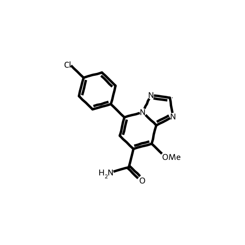 COc1c(C(N)=O)cc(-c2ccc(Cl)cc2)n2n[c]nc12